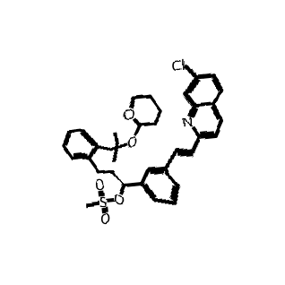 CC(C)(OC1CCCCO1)c1ccccc1CC[C@H](OS(C)(=O)=O)c1cccc(/C=C/c2ccc3ccc(Cl)cc3n2)c1